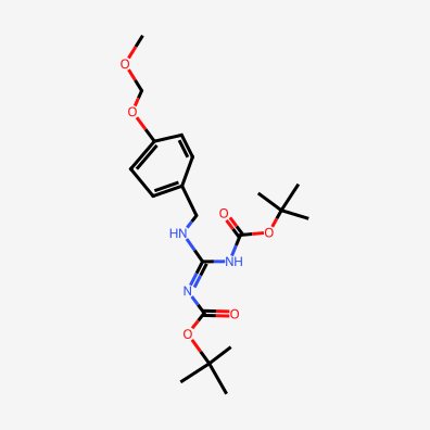 COCOc1ccc(CN/C(=N/C(=O)OC(C)(C)C)NC(=O)OC(C)(C)C)cc1